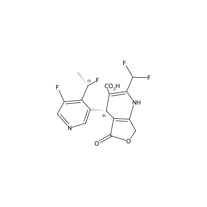 C[C@H](F)c1c(F)cncc1[C@H]1C2=C(COC2=O)NC(C(F)F)=C1C(=O)O